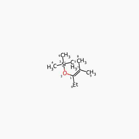 CCC(O[Si](C)(C)C)=C(C)C